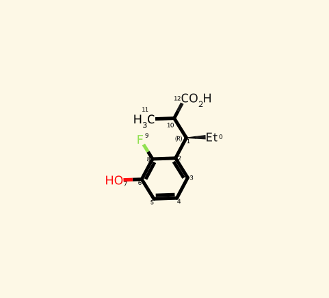 CC[C@@H](c1cccc(O)c1F)C(C)C(=O)O